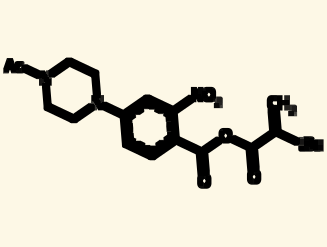 C=C(C(=O)OC(=O)c1ccc(N2CCN(C(C)=O)CC2)cc1[N+](=O)[O-])C(C)(C)C